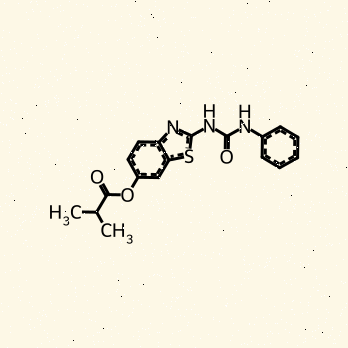 CC(C)C(=O)Oc1ccc2nc(NC(=O)Nc3ccccc3)sc2c1